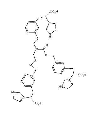 O=C(O)[C@@H](Cc1cccc(CCN(CCOCc2cccc(C[C@H](C(=O)O)[C@H]3CCNC3)c2)C(=O)OCc2cccc(C[C@H](C(=O)O)[C@H]3CCNC3)c2)c1)[C@H]1CCNC1